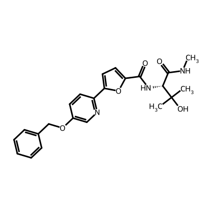 CNC(=O)[C@@H](NC(=O)c1ccc(-c2ccc(OCc3ccccc3)cn2)o1)C(C)(C)O